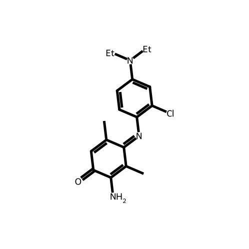 CCN(CC)c1ccc(N=C2C(C)=CC(=O)C(N)=C2C)c(Cl)c1